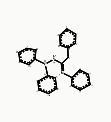 c1ccc(C/C(=N\c2ccccc2)NP(c2ccccc2)c2ccccc2)cc1